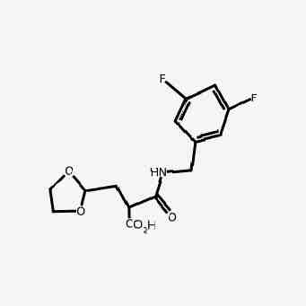 O=C(O)C(CC1OCCO1)C(=O)NCc1cc(F)cc(F)c1